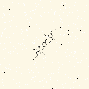 CCCOc1cc(OC)c(C(=O)Oc2ccc(OC(=O)c3c(OC)cc(OCCC)cc3OC)cc2)c(OC)c1